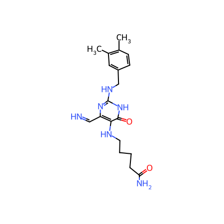 Cc1ccc(CNc2nc(C=N)c(NCCCCC(N)=O)c(=O)[nH]2)cc1C